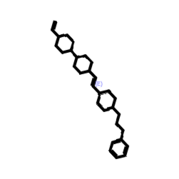 C=CC1CCC(C2CCC(/C=C/C3CCC(CCCc4ccccc4)CC3)CC2)CC1